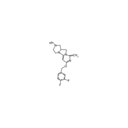 C=C1N=C(OCc2ccc(F)c(F)c2)C=C2N1CC1CN(CCC)CCN21